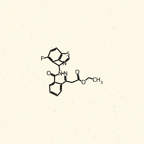 CCOC(=O)Cc1nn(C2c3nc4c2c(F)ccc4s3)c(=O)c2ccccc12